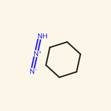 C1CCCCC1.[N-]=[N+]=N